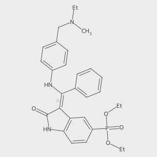 CCOP(=O)(OCC)c1ccc2c(c1)/C(=C(/Nc1ccc(CN(C)CC)cc1)c1ccccc1)C(=O)N2